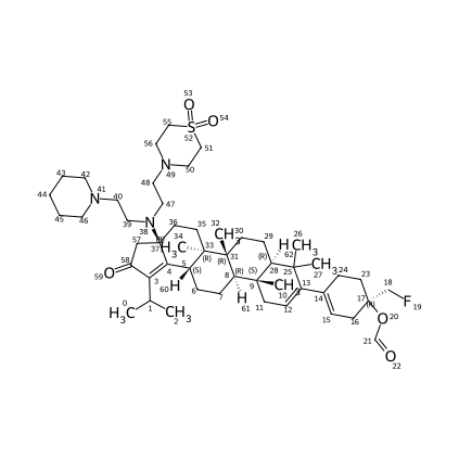 CC(C)C1=C2[C@H]3CC[C@@H]4[C@@]5(C)CC=C(C6=CC[C@](CF)(OC=O)CC6)C(C)(C)[C@@H]5CC[C@@]4(C)[C@]3(C)CC[C@@]2(N(CCN2CCCCC2)CCN2CCS(=O)(=O)CC2)CC1=O